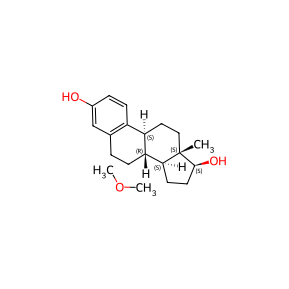 COC.C[C@]12CC[C@@H]3c4ccc(O)cc4CC[C@H]3[C@@H]1CC[C@@H]2O